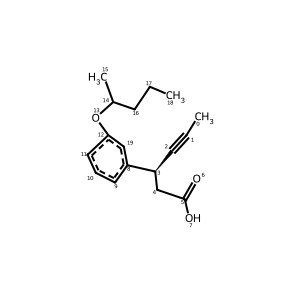 CC#C[C@@H](CC(=O)O)c1cccc(OC(C)CCC)c1